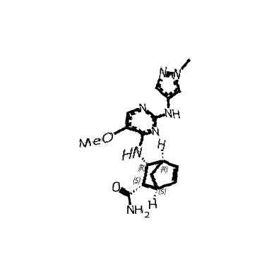 COc1cnc(Nc2cnn(C)c2)nc1N[C@H]1[C@@H](C(N)=O)[C@@H]2C=C[C@H]1C2